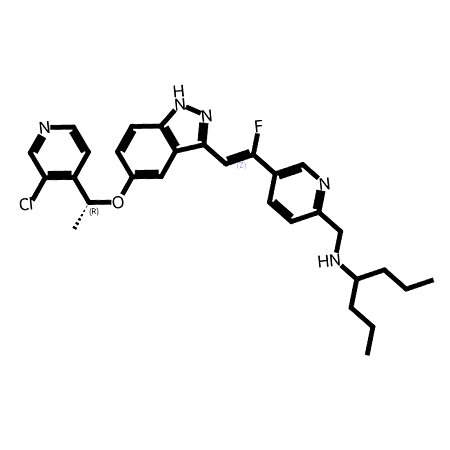 CCCC(CCC)NCc1ccc(/C(F)=C/c2n[nH]c3ccc(O[C@H](C)c4ccncc4Cl)cc23)cn1